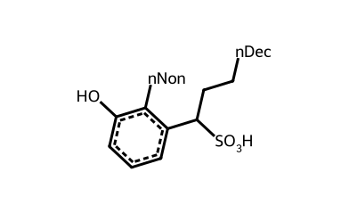 CCCCCCCCCCCCC(c1cccc(O)c1CCCCCCCCC)S(=O)(=O)O